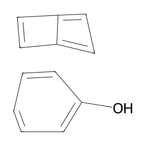 Oc1ccccc1.c1cc2ccc1-2